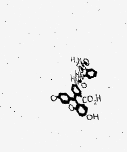 NS(=O)(=O)c1ccccc1NC(=O)Nc1ccc(-c2c3ccc(=O)cc-3oc3cc(O)ccc23)c(C(=O)O)c1